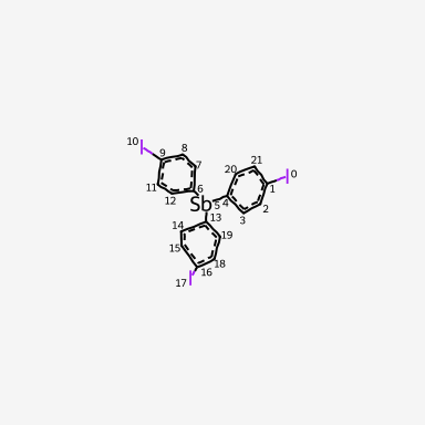 Ic1cc[c]([Sb]([c]2ccc(I)cc2)[c]2ccc(I)cc2)cc1